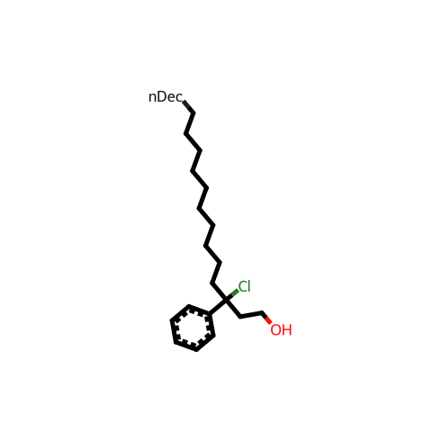 CCCCCCCCCCCCCCCCCCCCC(Cl)(CCO)c1ccccc1